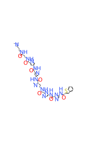 C=N[C@H](CCNC(=O)c1nc(NC(=O)c2nc(NC(=O)c3cc4ccccc4s3)cn2C)cn1C)C(=O)Nc1cc(C(=O)Nc2cc(C(=O)NCCC(=O)NCCCN(C)C)n(C)c2)n(C)c1